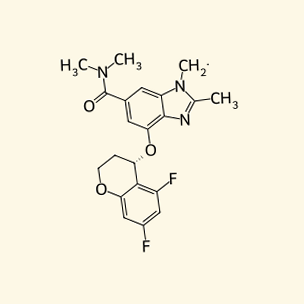 [CH2]n1c(C)nc2c(O[C@H]3CCOc4cc(F)cc(F)c43)cc(C(=O)N(C)C)cc21